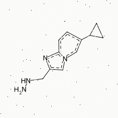 NNCc1cn2cc(C3CC3)ccc2n1